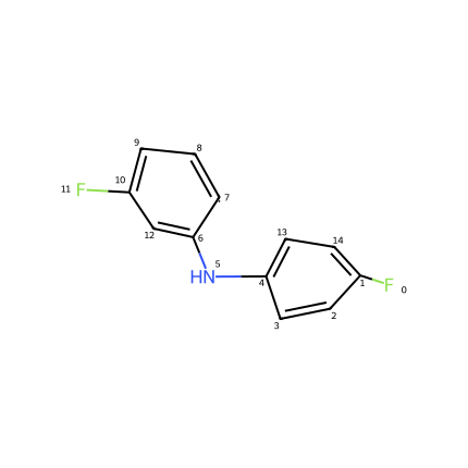 Fc1ccc(Nc2[c]ccc(F)c2)cc1